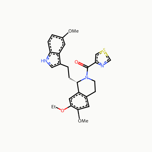 CCOc1cc2c(cc1OC)CCN(C(=O)c1cscn1)[C@H]2CCc1c[nH]c2ccc(OC)cc12